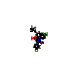 C[Si](C)(C)C#Cc1cc(Cl)cc(C2(O)CN(c3ccc(Cl)cc3)C(=O)N2c2ccc(Cl)cc2)c1